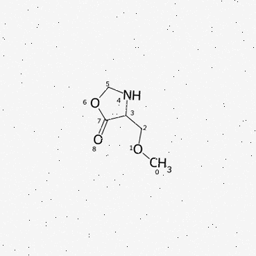 COCC1NCOC1=O